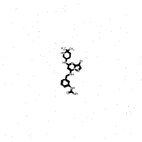 CCCC(=O)Nc1cccc(CNc2cc(NC3CCC(C)(C)NC3)nc3c(CC)cnn23)c1